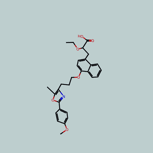 CCOC(Cc1ccc(OCCCc2nc(-c3ccc(OC)cc3)oc2C)c2ccccc12)C(=O)O